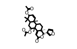 CC(=O)OC1C=C[C@@]2(C)C(C[C@@H](OC(C)=O)[C@@]3(C)C4=CC(=O)O[C@@H](c5ccoc5)[C@]4(C)CCC23)C1(C)C